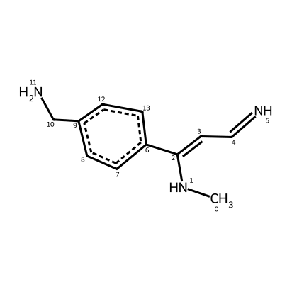 CN/C(=C\C=N)c1ccc(CN)cc1